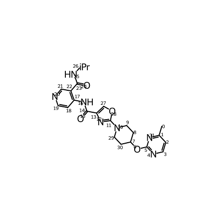 Cc1ccnc(OC2CCN(c3nc(C(=O)Nc4ccncc4C(=O)NC(C)C)co3)CC2)n1